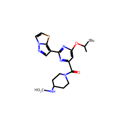 CC(Oc1cc(C(=O)N2CCC(NC(=O)O)CC2)nc(-c2cnn3ccsc23)n1)C(C)(C)C